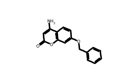 Nc1cc(=O)oc2cc(OCc3ccccc3)ccc12